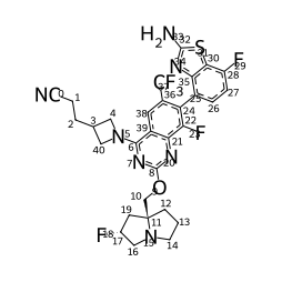 N#CCCC1CN(c2nc(OC[C@@]34CCCN3C[C@H](F)C4)nc3c(F)c(-c4ccc(F)c5sc(N)nc45)c(C(F)(F)F)cc23)C1